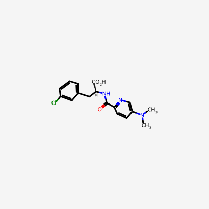 CN(C)c1ccc(C(=O)N[C@@H](Cc2cccc(Cl)c2)C(=O)O)nc1